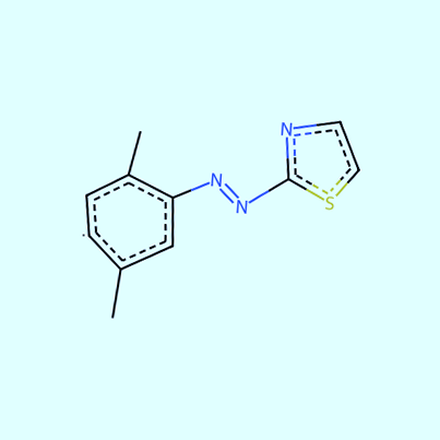 Cc1[c]cc(C)c(N=Nc2nccs2)c1